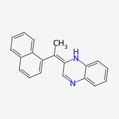 C/C(=C1/C=Nc2ccccc2N1)c1cccc2ccccc12